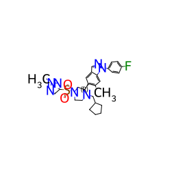 Cc1cc2c(cnn2-c2ccc(F)cc2)cc1[C@@H]1CN(S(=O)(=O)c2cnn(C)n2)CCN1CC1CCCC1